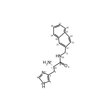 N[C@@H](Cc1c[nH]cn1)C(=O)NCc1ccc2ccccc2c1